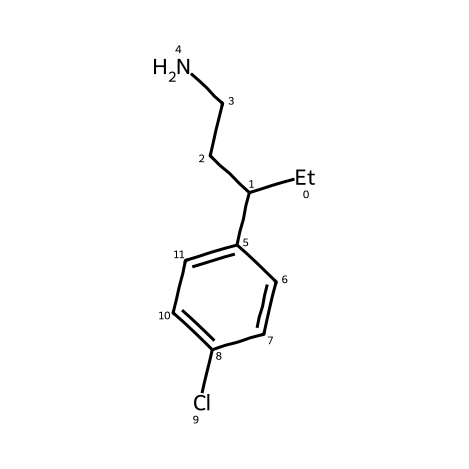 CCC(CCN)c1ccc(Cl)cc1